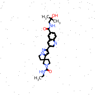 CCNC(=O)N1CCC2(CCn3nc(-c4cnc5ccc(C(=O)NCC(C)(C)O)cc5c4)cc32)C1